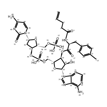 C=CCCC(=O)N[C@@H](Cc1ccc(I)cc1)C(=O)O[C@H]1[C@@H](O)[C@H](n2cnc3c(N)ncnc32)O[C@@H]1COP(=O)(O)O[C@H]1C[C@H](n2ccc(N)nc2=O)O[C@@H]1COP(=O)(O)O